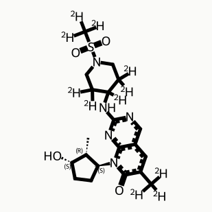 [2H]C([2H])([2H])c1cc2cnc(NC3([2H])C([2H])([2H])CN(S(=O)(=O)C([2H])([2H])[2H])CC3([2H])[2H])nc2n([C@H]2CC[C@H](O)[C@@H]2C)c1=O